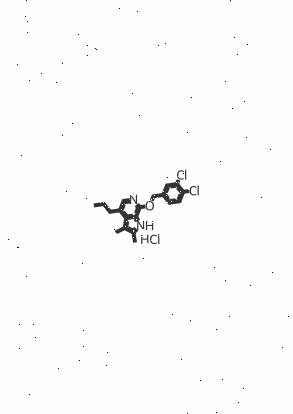 CCCc1cnc(OCc2ccc(Cl)c(Cl)c2)c2[nH]c(C)c(C)c12.Cl